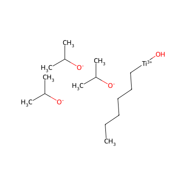 CC(C)[O-].CC(C)[O-].CC(C)[O-].CCCCC[CH2][Ti+3][OH]